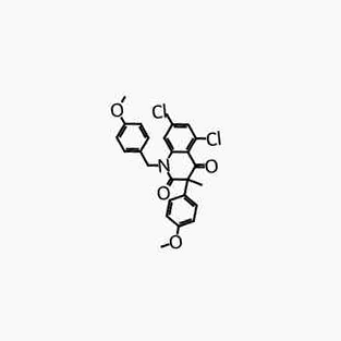 COc1ccc(CN2C(=O)C(C)(c3ccc(OC)cc3)C(=O)c3c(Cl)cc(Cl)cc32)cc1